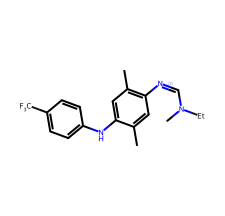 CCN(C)/C=N\c1cc(C)c(Nc2ccc(C(F)(F)F)cc2)cc1C